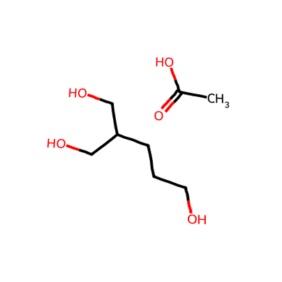 CC(=O)O.OCCCC(CO)CO